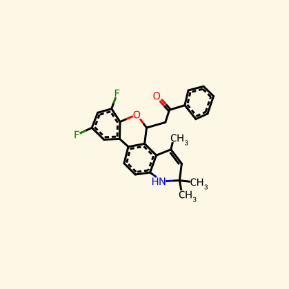 CC1=CC(C)(C)Nc2ccc3c(c21)C(CC(=O)c1ccccc1)Oc1c(F)cc(F)cc1-3